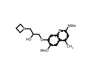 CNc1cc(C)c2cc(OC)c(OCC(O)CN3CCC3)cc2n1